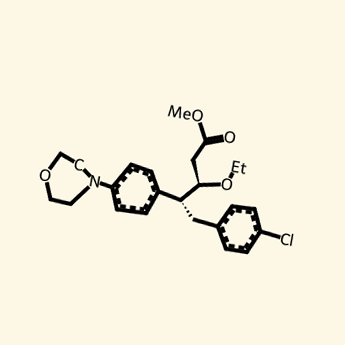 CCO[C@H](CC(=O)OC)[C@H](Cc1ccc(Cl)cc1)c1ccc(N2CCOCC2)cc1